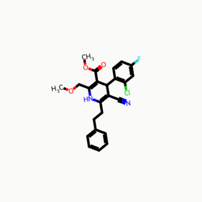 COCC1=C(C(=O)OC)C(c2ccc(F)cc2Cl)C(C#N)=C(CCc2ccccc2)N1